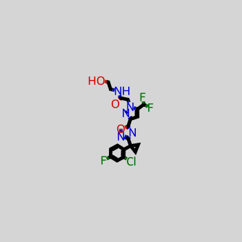 O=C(Cn1nc(-c2nc(C3(c4ccc(F)cc4Cl)CC3)no2)cc1C(F)F)NCCO